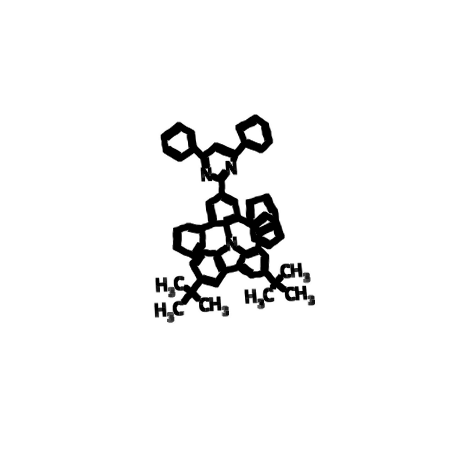 CC(C)(C)c1ccc2c(c1)c1cc(C(C)(C)C)cc(-c3ccccc3)c1n2-c1c(-c2ccccc2)cc(-c2nc(-c3ccccc3)cc(-c3ccccc3)n2)cc1-c1ccccc1